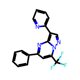 FC(F)(F)c1cc(-c2ccccc2)nc2c(-c3ccccn3)cnn12